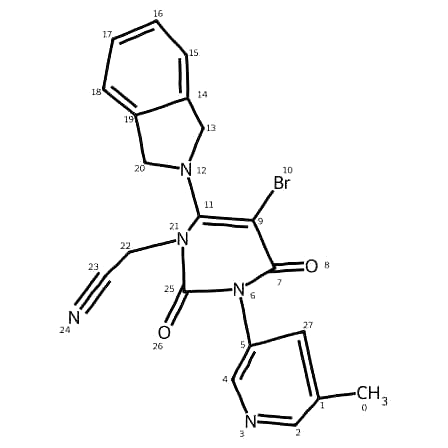 Cc1cncc(-n2c(=O)c(Br)c(N3Cc4ccccc4C3)n(CC#N)c2=O)c1